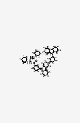 c1ccc(C2=NC(c3ccccc3)NC(c3cccc(-n4c5ccccc5c5cc(-c6cccc(-n7c8ccccc8c8ccccc87)c6)ccc54)c3)=N2)cc1